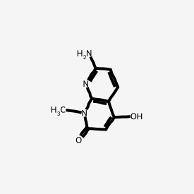 Cn1c(=O)cc(O)c2ccc(N)nc21